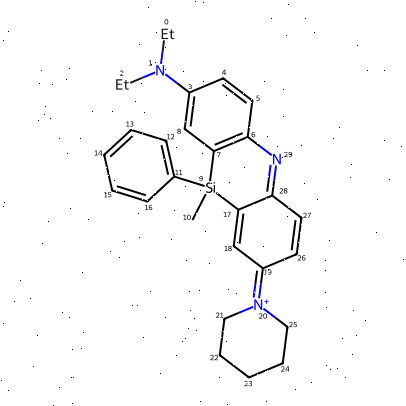 CCN(CC)c1ccc2c(c1)[Si](C)(c1ccccc1)C1=CC(=[N+]3CCCCC3)C=CC1=N2